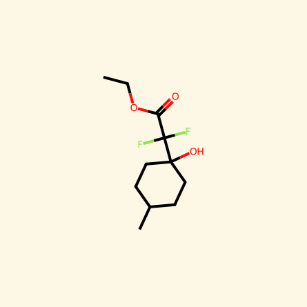 CCOC(=O)C(F)(F)C1(O)CCC(C)CC1